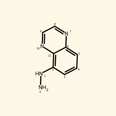 NNc1cccc2nccnc12